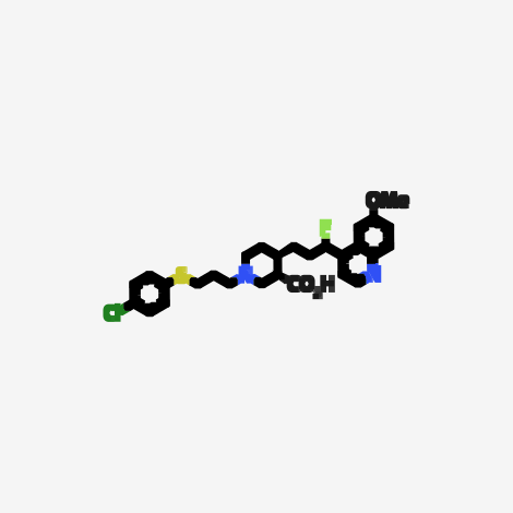 COc1ccc2nccc(C(F)CC[C@@H]3CCN(CCCSc4ccc(Cl)cc4)C[C@@H]3C(=O)O)c2c1